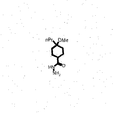 CCCC1(OC)CCC(C(=O)NN)CC1